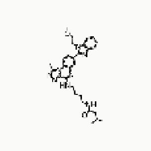 COCCn1c(-c2ccc3c(c2)nc(NCCCCNC(=O)CC(C)C)c2nnc(C)n23)nc2ccccc21